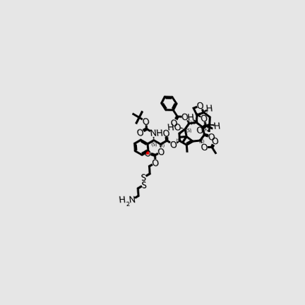 CC(=O)O[C@H]1C(=O)[C@]23C[C@H]2C[C@H]2OC[C@@]2(OC(C)=O)[C@H]3[C@H](OC(=O)c2ccccc2)[C@]2(O)C[C@H](OC(=O)[C@H](OC(=O)OCCSSCCN)[C@@H](NC(=O)OC(C)(C)C)c3ccccc3)C(C)=C1C2(C)C